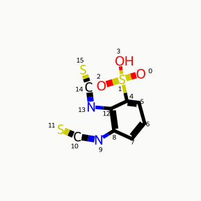 O=S(=O)(O)c1cccc(N=C=S)c1N=C=S